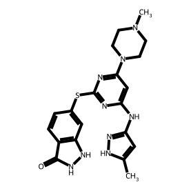 Cc1cc(Nc2cc(N3CCN(C)CC3)nc(Sc3ccc4c(=O)[nH][nH]c4c3)n2)n[nH]1